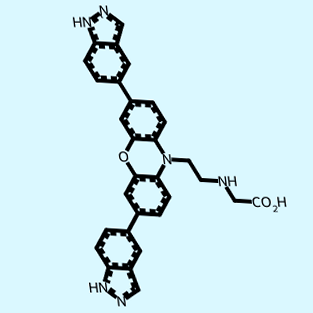 O=C(O)CNCCN1c2ccc(-c3ccc4[nH]ncc4c3)cc2Oc2cc(-c3ccc4[nH]ncc4c3)ccc21